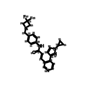 O=C(C=Cc1cnccc1-c1ccn(C2CC2)n1)Nc1ccc(CN2CC(F)(F)C2)cc1